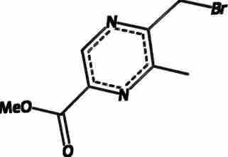 COC(=O)c1cnc(CBr)c(C)n1